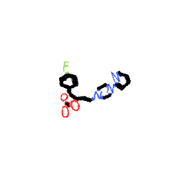 O=c1oc(CCN2CCN(c3ccccn3)CC2)c(-c2ccc(F)cc2)o1